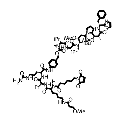 CC[C@H](C)[C@@H]([C@@H](CC(=O)N1CCCC1[C@H](OC)[C@@H](C)C(=O)N[C@H](Cc1ccccc1)c1nccs1)OC)N(C)C(=O)[C@@H](NC(=O)[C@H](C(C)C)N(C)C(=O)OCc1ccc(NC(=O)[C@H](CCCNC(N)=O)NC(=O)[C@@H](NC(=O)C(CCCCNC(=O)CCOC)NC(=O)CCCCCN2C(=O)C=CC2=O)C(C)C)cc1)C(C)C